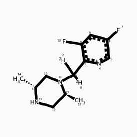 [2H]C([2H])(c1ncc(F)cc1F)N1C[C@@H](C)NC[C@@H]1C